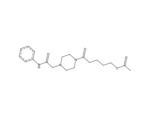 CC(=O)SCCCCC(=O)N1CCN(CC(=O)Nc2ccccc2)CC1